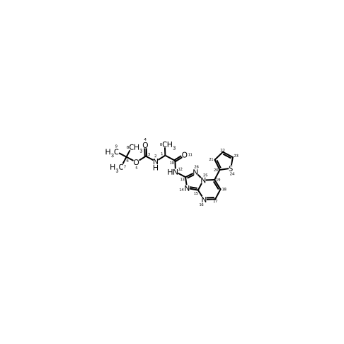 CC(NC(=O)OC(C)(C)C)C(=O)Nc1nc2nccc(-c3cccs3)n2n1